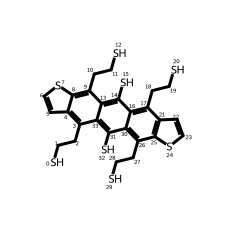 SCCc1c2ccsc2c(CCS)c2c(S)c3c(CCS)c4ccsc4c(CCS)c3c(S)c12